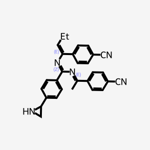 CC/C=C(/N=C(\N=C(/C)c1ccc(C#N)cc1)c1ccc(C2CN2)cc1)c1ccc(C#N)cc1